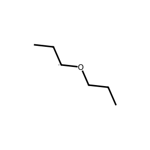 CC[CH]OCCC